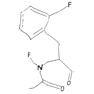 CC(=O)N(F)C([C]=O)Cc1ccccc1F